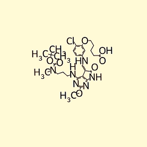 COc1nc(NCCCN(C)C(=O)OC(C)(C)C)c2c(n1)NC(=O)/C2=C\Nc1ccc(Cl)c(OCCCCC(=O)O)c1